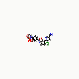 N#Cc1ccc(-c2cc(NC(=O)c3ccc(N4CCOCS4(=O)=O)cc3)ccc2Cl)nc1